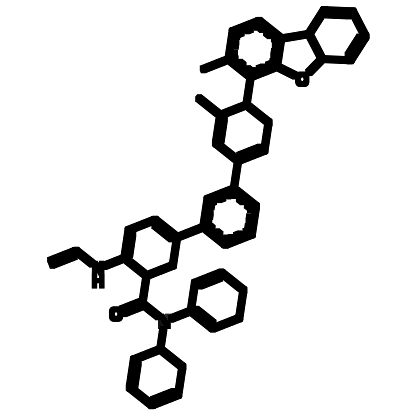 C=CNC1=CC=C(c2cccc(C3=CCC(c4c(C)ccc5c4OC4C=CC=CC54)C(C)=C3)c2)CC1C(=O)N(C1=CCCC=C1)C1C=CC=CC1